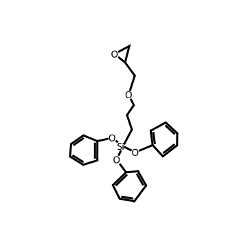 c1ccc(O[Si](CCCOCC2CO2)(Oc2ccccc2)Oc2ccccc2)cc1